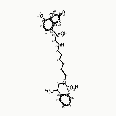 CC(CN(CCCSCCNC[C@H](O)c1ccc(O)c2[nH]c(=O)sc12)C(=O)O)c1ccccc1